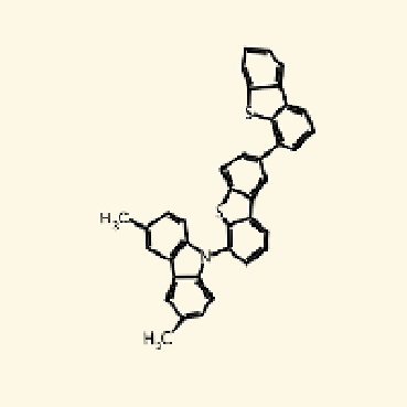 Cc1ccc2c(c1)c1cc(C)ccc1n2-c1cccc2c1sc1ccc(-c3cccc4c3sc3ccccc34)cc12